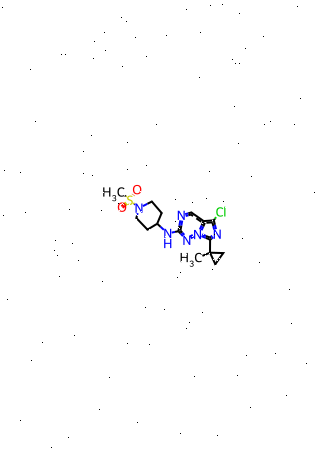 CC1(c2nc(Cl)c3cnc(NC4CCN(S(C)(=O)=O)CC4)nn23)CC1